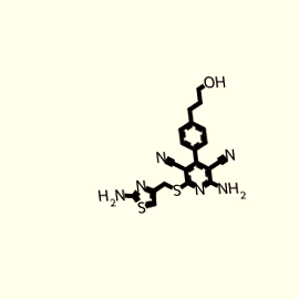 N#Cc1c(N)nc(SCc2csc(N)n2)c(C#N)c1-c1ccc(CCCO)cc1